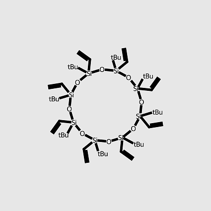 C=C[Si]1(C(C)(C)C)O[Si](C=C)(C(C)(C)C)O[Si](C=C)(C(C)(C)C)O[Si](C=C)(C(C)(C)C)O[Si](C=C)(C(C)(C)C)O[Si](C=C)(C(C)(C)C)O[Si](C=C)(C(C)(C)C)O[Si](C=C)(C(C)(C)C)O1